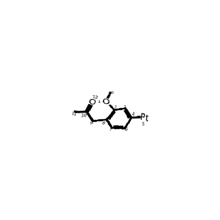 COc1c[c]([Pt])ccc1CC(C)=O